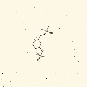 CC(C)(C)[Si](C)(C)OCC1CC(OS(C)(=O)=O)CCO1